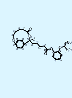 CCCCC(CCC)Oc1ccccc1OC(=O)CCCC[C@H]1OC(=O)CCCCOc2ccc1cc2